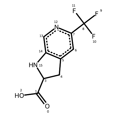 O=C(O)C1Cc2cc(C(F)(F)F)ncc2N1